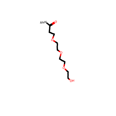 CNC(=O)CCOCCOCCOCCO